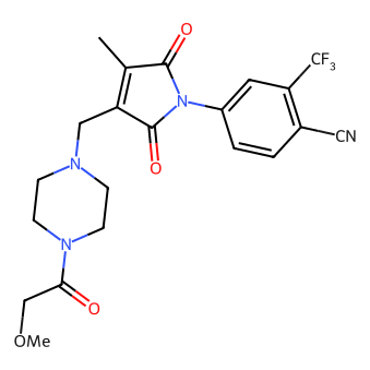 COCC(=O)N1CCN(CC2=C(C)C(=O)N(c3ccc(C#N)c(C(F)(F)F)c3)C2=O)CC1